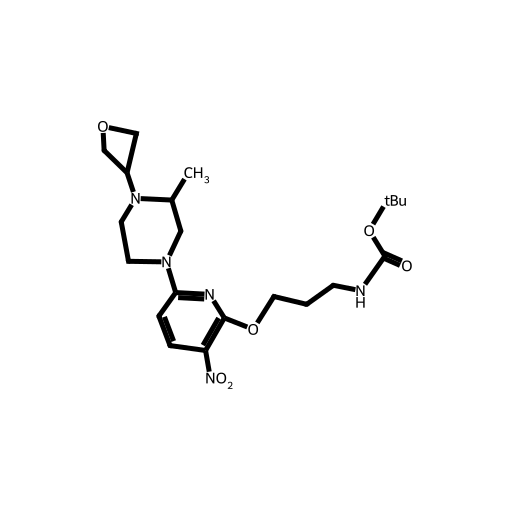 CC1CN(c2ccc([N+](=O)[O-])c(OCCCNC(=O)OC(C)(C)C)n2)CCN1C1COC1